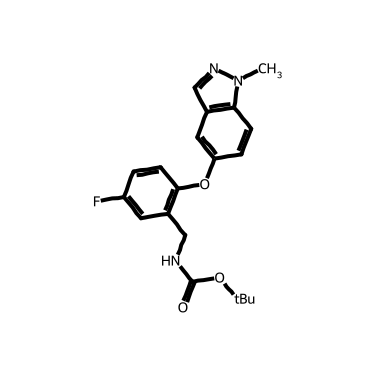 Cn1ncc2cc(Oc3ccc(F)cc3CNC(=O)OC(C)(C)C)ccc21